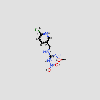 CON/C(=N\[N+](=O)[O-])NCc1ccc(Cl)nc1